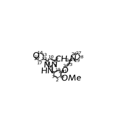 COc1ccc(Nc2nc(C)cc(C3CCOCC3)n2)cc1OCCCN1CCCC1